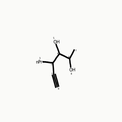 C#CC(CCC)C(O)C(C)O